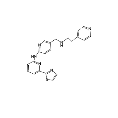 c1cc(Nc2ccc(CNCCc3ccncc3)cn2)nc(-c2nccs2)c1